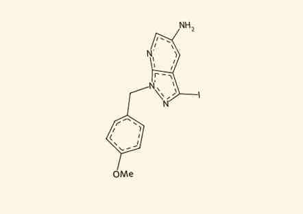 COc1ccc(Cn2nc(I)c3cc(N)cnc32)cc1